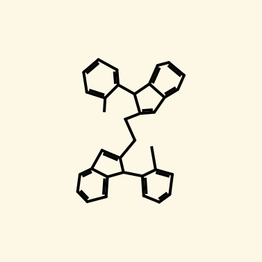 Cc1ccccc1C1C(CCC2=Cc3ccccc3C2c2ccccc2C)=Cc2ccccc21